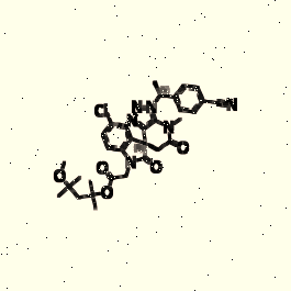 COC(C)(C)CC(C)(C)OC(=O)CN1C(=O)[C@]2(CC(=O)N(C)c3c2nnn3[C@@H](C)c2ccc(C#N)cc2)c2cc(Cl)ccc21